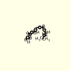 CC(C)c1cnc(NC2CCN(C(=O)c3ccc(CN4CCC(O)(c5ccc6c(c5)CN(C5CCC(=O)NC5=O)C6=O)CC4)cc3)CC2)nc1